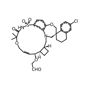 CC1(C)OCC=C[C@H](OCC=O)[C@@H]2CC[C@H]2CN2C[C@@]3(CCCc4cc(Cl)ccc43)COc3ccc(cc32)S(=O)(=O)NC1=O